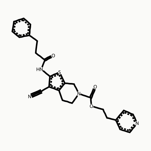 N#Cc1c(NC(=O)CCc2ccccc2)sc2c1CCN(C(=O)OCCc1ccncc1)C2